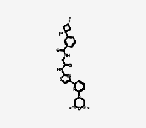 C[C@@H]1CN(c2cccc(-c3csc(NC(=O)CNC(=O)c4cccc([C@]5(F)C[C@@H](F)C5)c4)n3)n2)C[C@H](C)O1